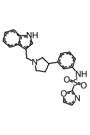 O=S(=O)(Nc1cccc(C2CCN(Cc3c[nH]c4ccccc34)C2)c1)c1ncco1